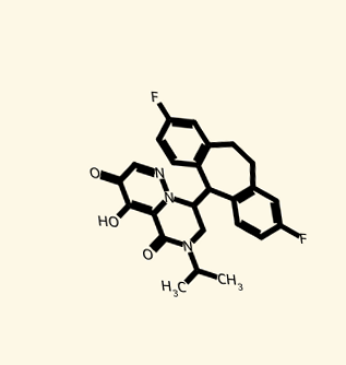 CC(C)N1CC(C2c3ccc(F)cc3CCc3cc(F)ccc32)n2ncc(=O)c(O)c2C1=O